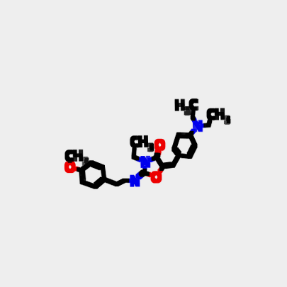 CCN1C(=O)/C(=C\c2ccc(N(CC)CC)cc2)O/C1=N/CCc1ccc(OC)cc1